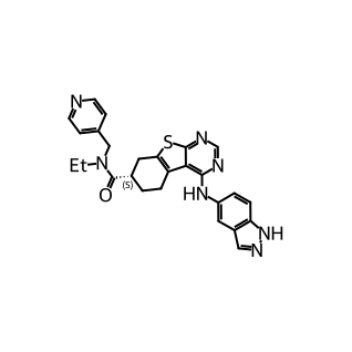 CCN(Cc1ccncc1)C(=O)[C@H]1CCc2c(sc3ncnc(Nc4ccc5[nH]ncc5c4)c23)C1